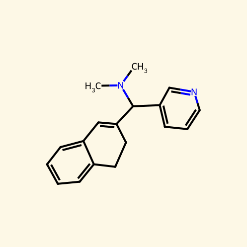 CN(C)C(C1=Cc2ccccc2CC1)c1cccnc1